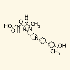 Cc1cc(-c2ccc(N3CCC(Cc4nc(C)c(O)c(C(=O)NCC(=O)O)n4)CC3)cc2)ccc1CO